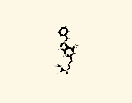 CN(CCCc1nc(O)c2c(ncn2Cc2ccccc2)n1)C(=O)OC(C)(C)C